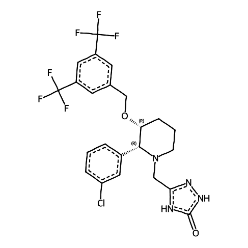 O=c1[nH]nc(CN2CCC[C@@H](OCc3cc(C(F)(F)F)cc(C(F)(F)F)c3)[C@H]2c2cccc(Cl)c2)[nH]1